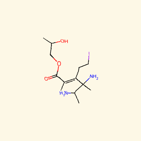 CC(C(=O)OCC(C)O)=C(CCI)C(C)(N)C(C)N